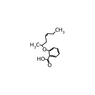 CC/C=C\CC(C)Oc1ccccc1C(=O)O